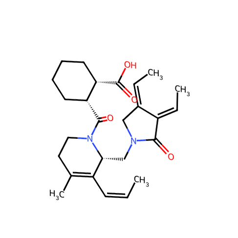 C/C=C\C1=C(C)CCN(C(=O)[C@@H]2CCCC[C@@H]2C(=O)O)[C@@H]1CN1CC(=C/C)/C(=C\C)C1=O